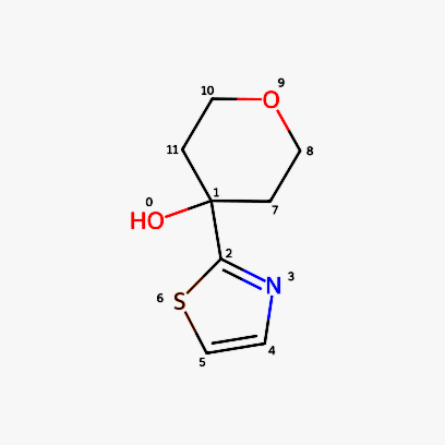 OC1(c2nccs2)CCOCC1